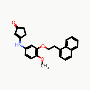 COc1ccc(NC2=CC(=O)CC2)cc1OCCc1cccc2ccccc12